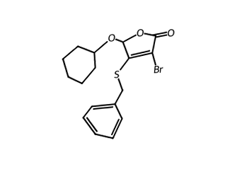 O=C1OC(OC2CCCCC2)C(SCc2ccccc2)=C1Br